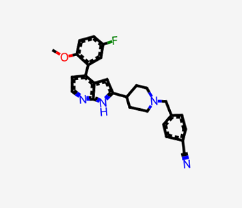 COc1ccc(F)cc1-c1ccnc2[nH]c(C3CCN(Cc4ccc(C#N)cc4)CC3)cc12